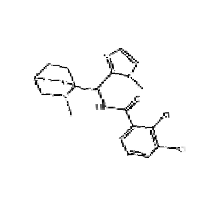 CN1CC2CCC1(C(NC(=O)c1cccc(Cl)c1Cl)c1nccn1C)CC2